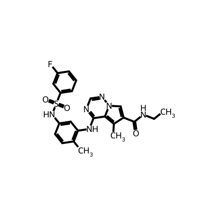 CCNC(=O)c1cn2ncnc(Nc3cc(NS(=O)(=O)c4cccc(F)c4)ccc3C)c2c1C